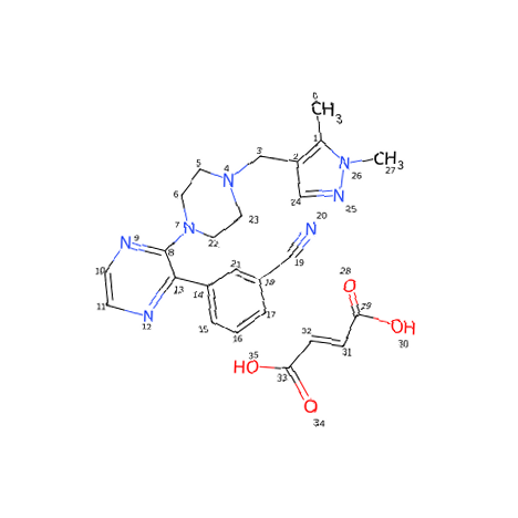 Cc1c(CN2CCN(c3nccnc3-c3cccc(C#N)c3)CC2)cnn1C.O=C(O)/C=C/C(=O)O